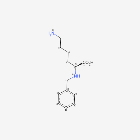 NCCCC[C@H](NCc1ccccc1)C(=O)O